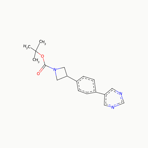 CC(C)(C)OC(=O)N1CC(c2ccc(-c3cncnc3)cc2)C1